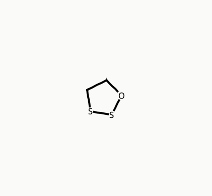 [CH]1CSSO1